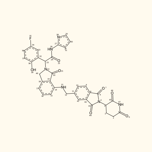 O=C1CCC(N2C(=O)c3ccc(CNc4cccc5c4C(=O)N(C(C(=O)Nc4nccs4)c4cc(F)ccc4O)C5)cc3C2=O)C(=O)N1